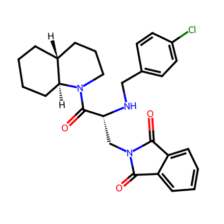 O=C1c2ccccc2C(=O)N1C[C@@H](NCc1ccc(Cl)cc1)C(=O)N1CCC[C@H]2CCCC[C@@H]21